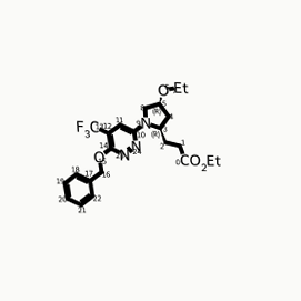 CCOC(=O)CC[C@@H]1C[C@@H](OCC)CN1c1cc(C(F)(F)F)c(OCc2ccccc2)nn1